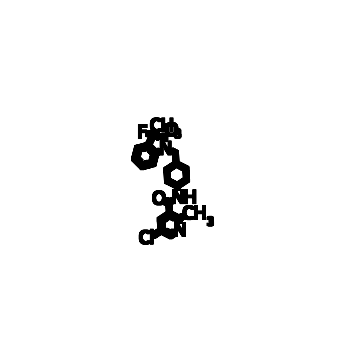 Cc1ncc(Cl)cc1C(=O)NC1CCC(CN2C(=O)[C@@](C)(F)c3ccccc32)CC1